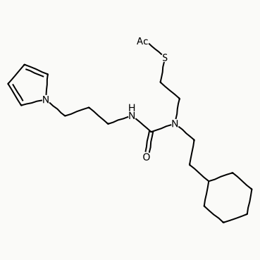 CC(=O)SCCN(CCC1CCCCC1)C(=O)NCCCn1cccc1